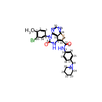 Cc1ccc(N2C(=O)Nc3c(C(=O)Nc4ccc(CN5CCCCC5)cc4)sc4ncnc2c34)cc1Br